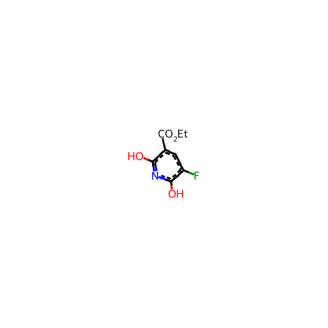 CCOC(=O)c1cc(F)c(O)nc1O